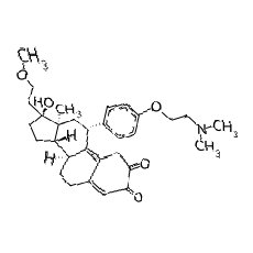 COCC[C@@]1(O)CC[C@H]2[C@@H]3CCC4=CC(=O)C(=O)CC4=C3[C@@H](c3ccc(OCCN(C)C)cc3)C[C@@]21C